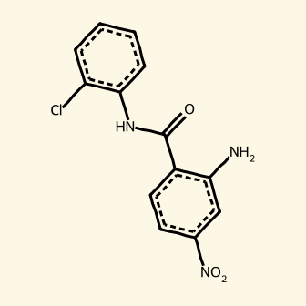 Nc1cc([N+](=O)[O-])ccc1C(=O)Nc1ccccc1Cl